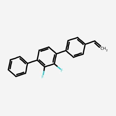 C=Cc1ccc(-c2ccc(-c3ccccc3)c(F)c2F)cc1